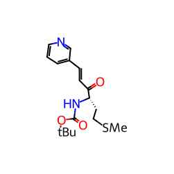 CSCC[C@H](NC(=O)OC(C)(C)C)C(=O)C=Cc1cccnc1